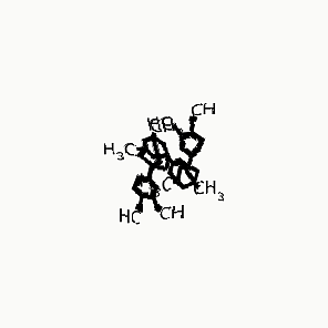 C#Cc1ccc(C23CC4(C)CC(C)(C2)CC(C25CC6(C)CC(C)(CC(c7ccc(C#C)c(C#C)c7)(C6)C2)C5)(C4)C3)cc1C#C